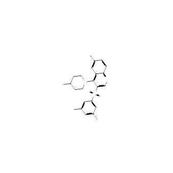 Cc1cc(C)cc(S(=O)(=O)c2cnc3ccc(Cl)cc3c2N2CCC(C)CC2)c1